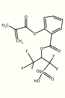 C=C(C)C(=O)Oc1ccccc1C(=O)OC(C(F)(F)F)C(F)(F)S(=O)(=O)O